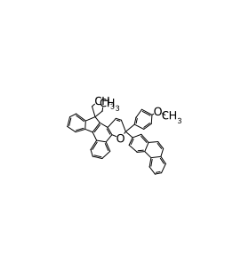 CCC1(CC)c2ccccc2-c2c1c1c(c3ccccc23)OC(c2ccc(OC)cc2)(c2ccc3c(ccc4ccccc43)c2)C=C1